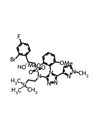 COc1cccc(OC)c1-n1c(-c2ccn(C)n2)nnc1N(CC[Si](C)(C)C)S(=O)(=O)C[C@H](O)c1ccc(F)cc1Br